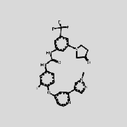 Cn1cc(-c2cc(Oc3ccc(NC(=O)Nc4cc(N5CCC(=O)C5)cc(C(F)(F)F)c4)cc3F)ccn2)cn1